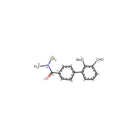 COc1c(C=O)cccc1-c1ccc(C(=O)N(C)C)cc1